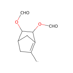 [CH2]C1=C2CC(C1)C(OC=O)C2OC=O